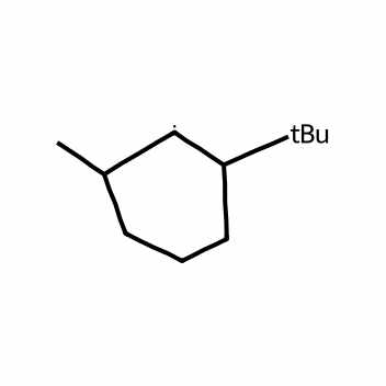 CC1[CH]C(C(C)(C)C)CCC1